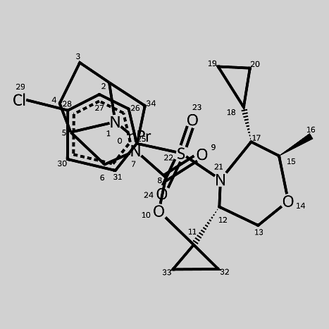 CCCN1C2CCC1CN(C(=O)OC1([C@H]3CO[C@H](C)[C@@H](C4CC4)N3S(=O)(=O)c3ccc(Cl)cc3)CC1)C2